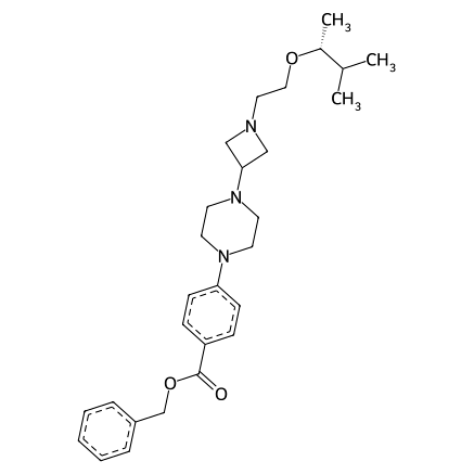 CC(C)[C@@H](C)OCCN1CC(N2CCN(c3ccc(C(=O)OCc4ccccc4)cc3)CC2)C1